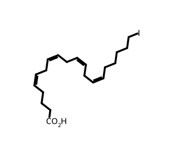 O=C(O)CCC/C=C\C/C=C\C/C=C\C/C=C\CCCCCI